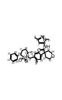 Cc1cc(NC(=O)C2(c3ccc(CN4[C@H](C)CC[C@@H](c5ccccc5)S4(=O)=O)c(F)c3)CCOCC2)n(C)n1